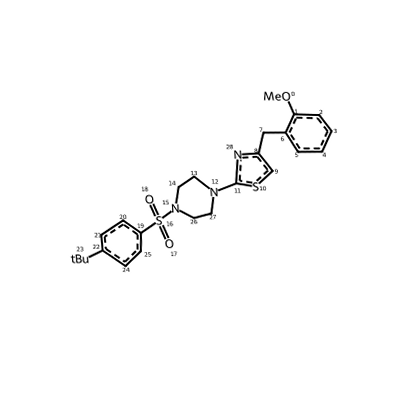 COc1ccccc1Cc1csc(N2CCN(S(=O)(=O)c3ccc(C(C)(C)C)cc3)CC2)n1